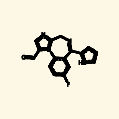 O=Cc1cnc2n1-c1ccc(F)cc1C(c1ccc[nH]1)=NC2